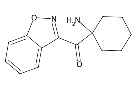 NC1(C(=O)c2noc3ccccc23)CCCCC1